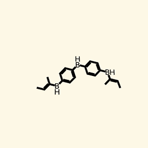 C/C=C(\C)Bc1ccc(Bc2ccc(B/C(C)=C/C)cc2)cc1